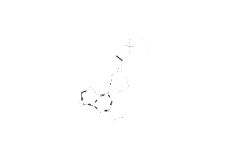 CC(C)(C)OC(=O)N1CCCC(F)(c2cc(C(F)F)nc3ncnn23)C1